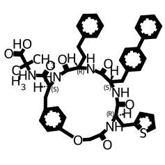 CC(C)(NC(=O)[C@@H]1Cc2ccc(cc2)OCC(=O)N[C@H](Cc2cccs2)C(=O)N[C@@H](Cc2ccc(-c3ccccc3)cc2)C(=O)N[C@H](CCc2ccccc2)C(=O)N1)C(=O)O